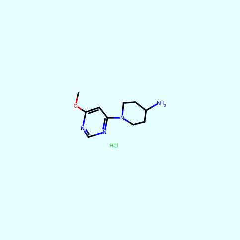 COc1cc(N2CCC(N)CC2)ncn1.Cl